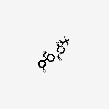 NC[C@]1(c2cccc(Cl)c2)CC[C@H](C(=O)N2CCn3c(nnc3C(F)(F)F)C2)CC1